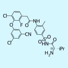 Cc1cc(S(=O)(=O)NC(=O)[C@@H](N)C(C)C)ccc1NC(=O)Cc1ccc(Cl)c(Oc2cc(Cl)cc(C#N)c2)c1F